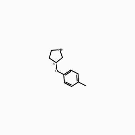 Cc1ccc(O[C@H]2CCNC2)cc1